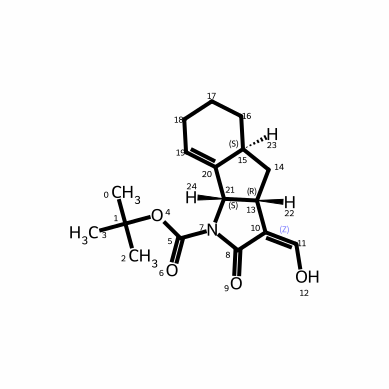 CC(C)(C)OC(=O)N1C(=O)/C(=C\O)[C@H]2C[C@@H]3CCCC=C3[C@H]21